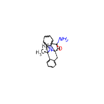 C[C@@]12c3ccccc3C[C@@H](c3ccccc31)[N@@+]2(C)CC(N)=O